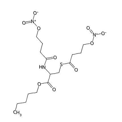 CCCCCOC(=O)C(CSC(=O)CCCO[N+](=O)[O-])NC(=O)CCCO[N+](=O)[O-]